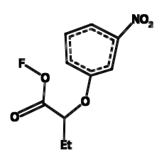 CCC(Oc1cccc([N+](=O)[O-])c1)C(=O)OF